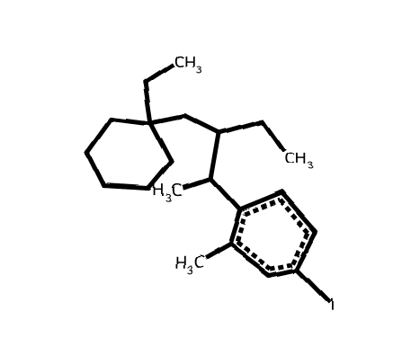 CCC(CC1(CC)CCCCC1)C(C)c1ccc(I)cc1C